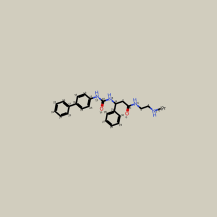 CC(C)NCCNC(=O)CC(NC(=O)Nc1ccc(-c2ccccc2)cc1)c1ccccc1